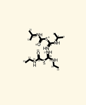 CC(C)NC(=N)SC(=O)NC(C)C.CCNC(=N)SC(=O)NCC